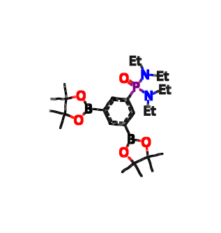 CCN(CC)P(=O)(c1cc(B2OC(C)(C)C(C)(C)O2)cc(B2OC(C)(C)C(C)(C)O2)c1)N(CC)CC